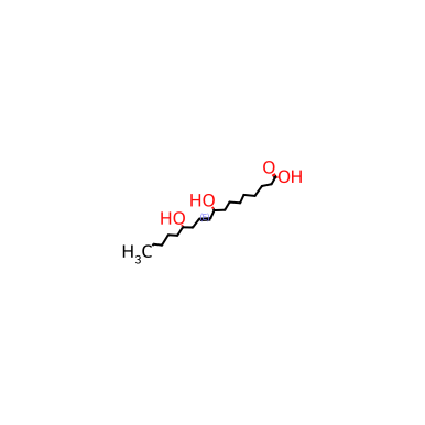 CCCCCC(O)C/C=C/C(O)CCCCCCCC(=O)O